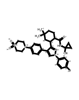 CC1(C)CCC(C(=O)NC2(C#N)CC2)C(c2nn(-c3ccc(F)cc3)cc2-c2ccc(N3CCS(=O)(=O)CC3)cc2)C1